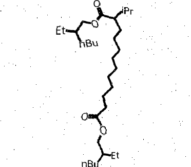 CCCCC(CC)COC(=O)CCCCCCCCCC(C(=O)OCC(CC)CCCC)C(C)C